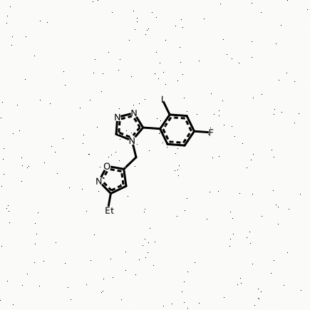 CCc1cc(Cn2cnnc2-c2ccc(F)cc2I)on1